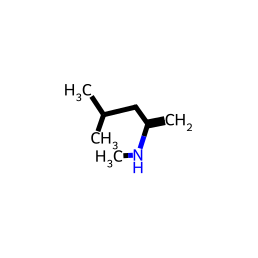 C=C(CC(C)C)NC